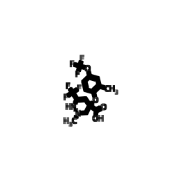 Cc1cc(OC(F)(F)F)ccc1OC1(C(=O)O)C=C(C(F)(F)F)NN(C)C1